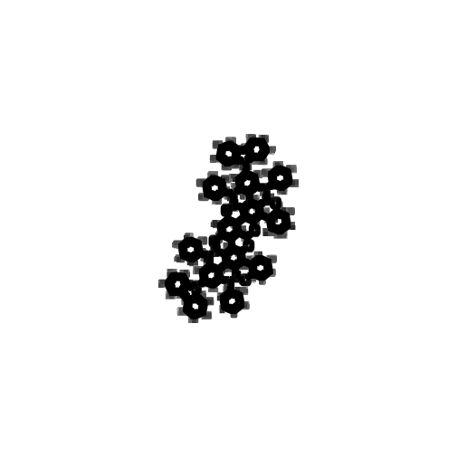 c1ccc(N2B3Oc4ccccc4-c4c5c6c7c(c43)-c3c2cc(-n2c4ccccc4c4ccccc42)cc3N(c2ccccc2)B7Oc2cc3c4c(c2-6)C(O5)Oc2c5c6c7c(c2-4)B(O3)N(c2ccccc2)c2cc(-n3c4ccccc4c4ccccc43)cc(c2-7)N(c2ccccc2)B6Oc2ccccc2-5)cc1